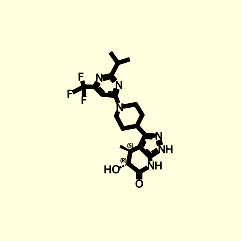 CC(C)c1nc(N2CCC(c3n[nH]c4c3[C@H](C)[C@@H](O)C(=O)N4)CC2)cc(C(F)(F)F)n1